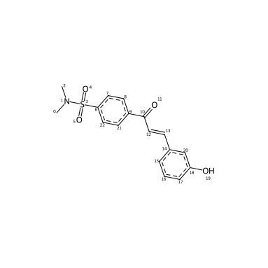 CN(C)S(=O)(=O)c1ccc(C(=O)C=Cc2cccc(O)c2)cc1